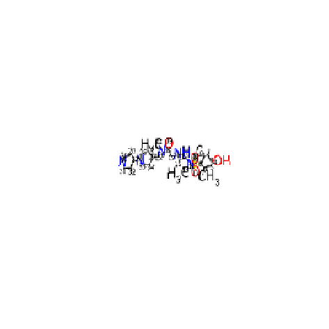 Cc1cc(O)cc(C)c1S(=O)(=O)N(C)CCNCC(=O)N(C)CC1CCN(c2ccncc2)CC1